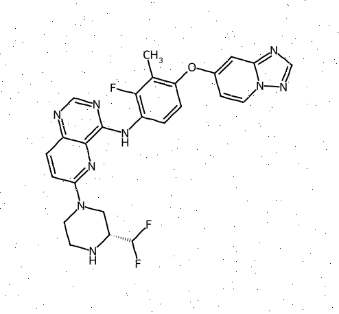 Cc1c(Oc2ccn3ncnc3c2)ccc(Nc2ncnc3ccc(N4CCN[C@@H](C(F)F)C4)nc23)c1F